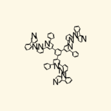 c1ccc(-c2cc(-c3cc(-c4cc(-c5ccccc5)nc(-c5cccc(-n6c7ccccc7c7cnccc76)n5)c4)cc(-c4cc(-c5ccccc5)nc(-c5cccc(-n6c7ccccc7c7cnccc76)n5)c4)c3)cc(-c3cccc(-n4c5ccccc5c5cnccc54)n3)n2)cc1